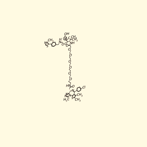 Cc1ncsc1-c1ccc(CNC(=O)[C@@H]2C[C@@H](O)CN2C(=O)[C@@H](NC(=O)COCCOCCOCCOCCOCCOCCNC(=O)C[C@@H]2N=C(c3ccc(Cl)cc3)c3c(sc(C)c3C)-n3c(C)nnc32)C(C)(C)C)cc1